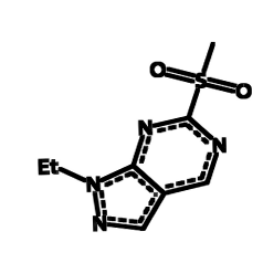 CCn1ncc2cnc(S(C)(=O)=O)nc21